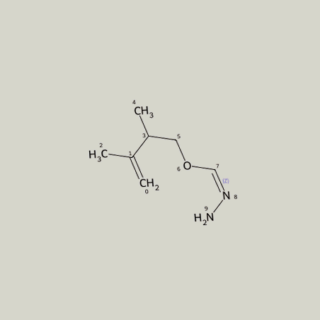 C=C(C)C(C)CO/C=N\N